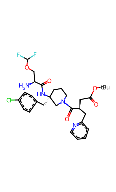 CC(C)(C)OC(=O)C[C@@H](Cc1ccccn1)C(=O)N1CCC[C@](Cc2ccc(Cl)cc2)(NC(=O)[C@@H](N)COC(F)F)C1